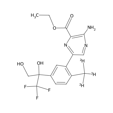 [2H]C([2H])([2H])c1ccc(C(O)(CO)C(F)(F)F)cc1-c1cnc(N)c(C(=O)OCC)n1